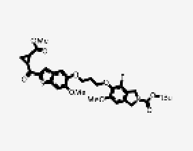 COC(=O)C1CC1C(=O)c1cc2cc(OCCCOc3c(OC)cc4c(c3F)CN(C(=O)OC(C)(C)C)C4)c(OC)cc2s1